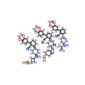 CC1(NC2CCN(c3cccc(-c4ccc5c(c4)OCCO5)c3C#N)CC2)CC1.N#Cc1c(-c2ccc3c(c2)OCCO3)cccc1N1CCC(N[C@H]2CC[C@H](O)CC2)CC1.N#Cc1c(-c2ccc3c(c2)OCCO3)cccc1N1CCC(N[C@H]2C[C@H](CO)C2)CC1